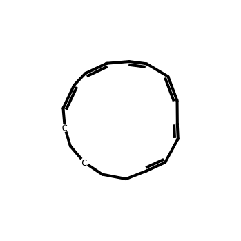 C1=CC=CC=CCCCCCC=CC=CC=C1